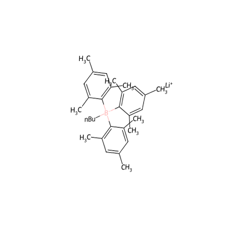 CCCC[B-](c1c(C)cc(C)cc1C)(c1c(C)cc(C)cc1C)c1c(C)cc(C)cc1C.[Li+]